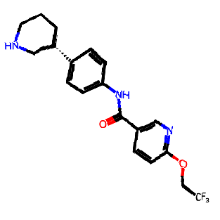 O=C(Nc1ccc([C@H]2CCCNC2)cc1)c1ccc(OCC(F)(F)F)nc1